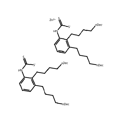 CCCCCCCCCCCCCCc1cccc(NC(=S)[S-])c1CCCCCCCCCCCCCC.CCCCCCCCCCCCCCc1cccc(NC(=S)[S-])c1CCCCCCCCCCCCCC.[Zn+2]